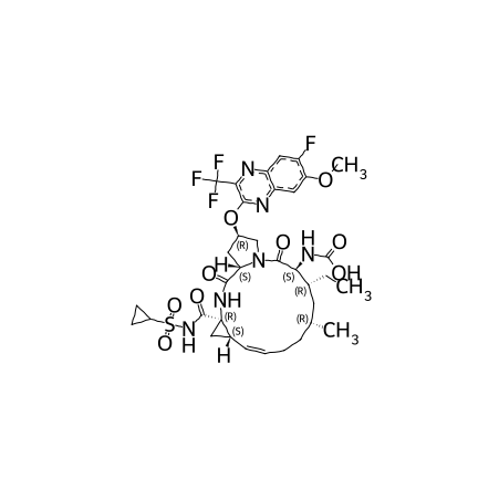 CC[C@@H]1C[C@H](C)CCC=C[C@@H]2C[C@@]2(C(=O)NS(=O)(=O)C2CC2)NC(=O)[C@@H]2C[C@@H](Oc3nc4cc(OC)c(F)cc4nc3C(F)(F)F)CN2C(=O)[C@H]1NC(=O)O